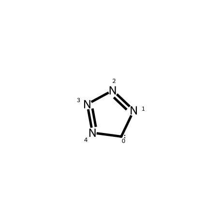 [C]1N=NN=N1